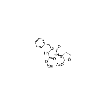 CC(=O)OC1OCC[C@@H]1NC(=O)[C@H](Cc1ccccc1)NC(=O)OC(C)(C)C